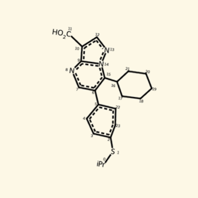 CC(C)Sc1ccc(-c2cnc3c(C(=O)O)cnn3c2C2CCCCC2)cc1